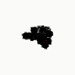 CO[C@H]1O[C@H](CO[Si](C)(C)C(C)(C)C(C)C)[C@@H](OP(=O)(OCc2ccccc2)OCc2ccccc2)[C@H](OP(=O)(OCc2ccccc2)OCc2ccccc2)[C@@H]1OP(=O)(OCc1ccccc1)OCc1ccccc1